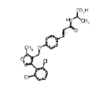 Cc1onc(-c2c(Cl)cccc2Cl)c1COc1ccc(/C=C/C(=O)NC(C)C(=O)O)cc1